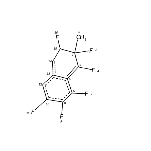 CC1(F)C(F)=c2c(F)c(F)c(F)cc2=[C]C1F